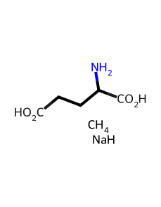 C.NC(CCC(=O)O)C(=O)O.[NaH]